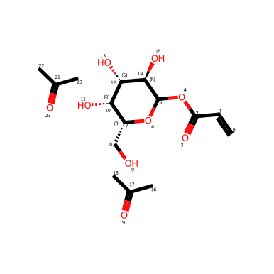 C=CC(=O)OC1O[C@H](CO)[C@H](O)[C@H](O)[C@H]1O.CC(C)=O.CC(C)=O